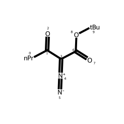 CCCC(=O)C(=[N+]=[N-])C(=O)OC(C)(C)C